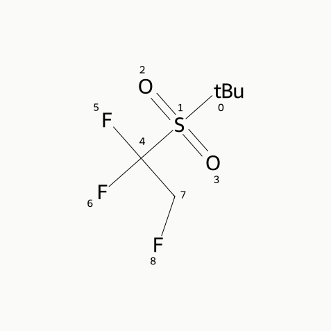 CC(C)(C)S(=O)(=O)C(F)(F)CF